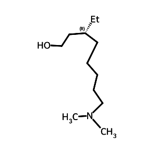 CC[C@@H](CCO)CCCCCN(C)C